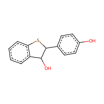 Oc1ccc(C2Sc3ccccc3C2O)cc1